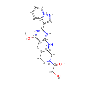 COc1nc(-c2cnn3ccccc23)nc(N[C@@H]2CCCN(C(=O)CO)C2)c1C